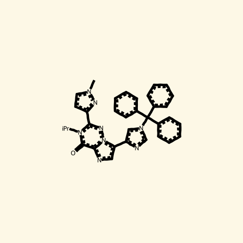 CC(C)n1c(-c2ccn(C)n2)nn2c(-c3cn(C(c4ccccc4)(c4ccccc4)c4ccccc4)cn3)cnc2c1=O